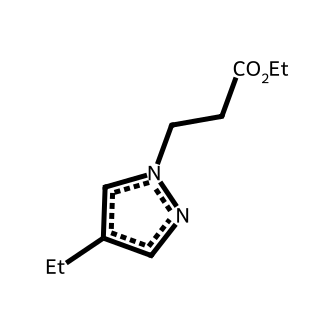 CCOC(=O)CCn1cc(CC)cn1